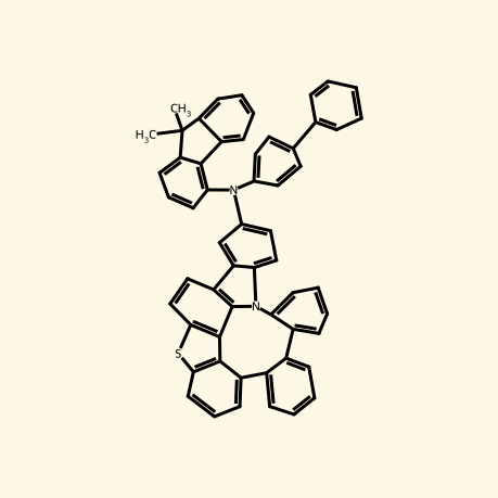 CC1(C)c2ccccc2-c2c(N(c3ccc(-c4ccccc4)cc3)c3ccc4c(c3)c3ccc5sc6cccc7c8ccccc8c8ccccc8n4c3c5c67)cccc21